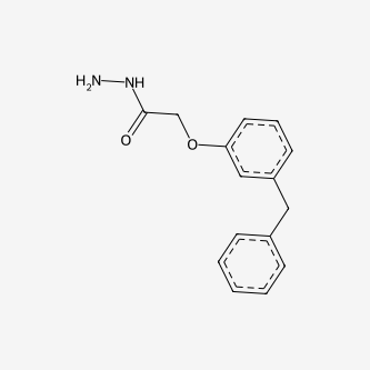 NNC(=O)COc1cccc(Cc2ccccc2)c1